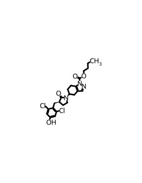 CCCCOC(=O)n1ncc2c1CCC(N1CC[C@@H](Cc3c(Cl)cc(O)cc3Cl)C1=O)C2